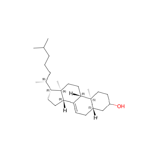 CC(C)CCC[C@@H](C)[C@H]1CC[C@H]2C3=CC[C@H]4CC(O)CC[C@]4(C)[C@H]3CC[C@]12C